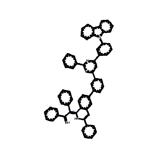 N=C(/C(=C1\NC(c2ccccc2)=Cc2cc(-c3cccc(-c4cc(-c5cccc(-n6c7ccccc7c7ccccc76)c5)nc(-c5ccccc5)n4)c3)ccc21)c1ccccc1)c1ccccc1